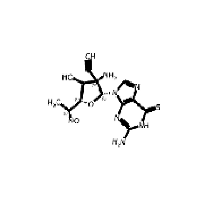 C#C[C@@]1(N)C(O)[C@@H]([C@H](C)N=O)O[C@H]1n1cnc2c(=S)[nH]c(N)nc21